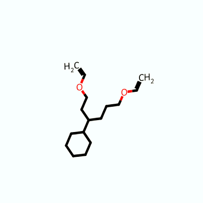 C=COCCCC(CCOC=C)C1CCCCC1